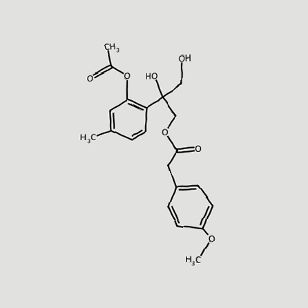 COc1ccc(CC(=O)OCC(O)(CO)c2ccc(C)cc2OC(C)=O)cc1